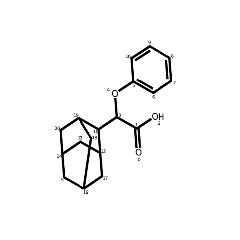 O=C(O)C(Oc1ccccc1)C1C2CC3CC(C2)CC1C3